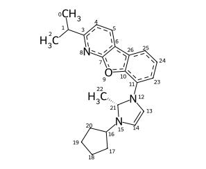 CC(C)c1ccc2c(n1)oc1c(N3C=CN(C4CCCC4)[C@@H]3C)cccc12